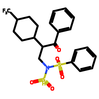 O=C(c1ccccc1)C(CN([SH](=O)=O)S(=O)(=O)c1ccccc1)C1CCC(C(F)(F)F)CC1